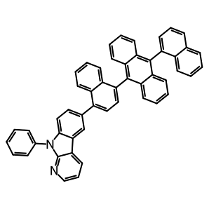 c1ccc(-n2c3ccc(-c4ccc(-c5c6ccccc6c(-c6cccc7ccccc67)c6ccccc56)c5ccccc45)cc3c3cccnc32)cc1